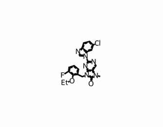 CCOc1c(F)cccc1Cn1c(=O)n(C)c2cnc(-n3cnc4ccc(Cl)cc43)nc21